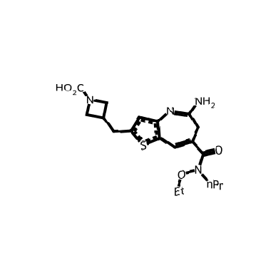 CCCN(OCC)C(=O)C1=Cc2sc(CC3CN(C(=O)O)C3)cc2N=C(N)C1